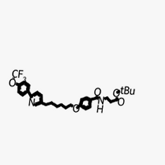 CC(C)(C)OC(=O)CCNC(=O)c1ccc(OCCCCCCc2ccc(-c3ccc(OC(F)(F)F)cc3)nc2)cc1